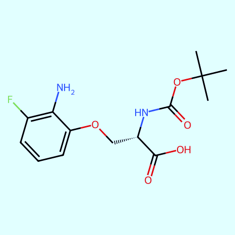 CC(C)(C)OC(=O)N[C@@H](COc1cccc(F)c1N)C(=O)O